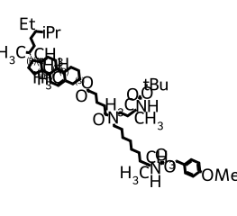 CCC(CCC(C)[C@H]1CC[C@H]2[C@@H]3CC=C4C[C@@H](OC(=O)CCCC(=O)N(CCCCCCCC(C)(C)NC(=O)OCc5ccc(OC)cc5)CCC(C)(C)NC(=O)OC(C)(C)C)CC[C@]4(C)[C@H]3CC[C@]12C)C(C)C